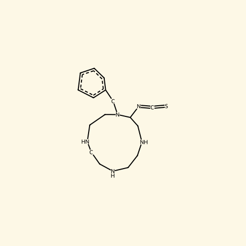 S=C=NC1CNCCNCCNCCN1Cc1ccccc1